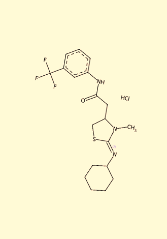 CN1/C(=N/C2CCCCC2)SCC1CC(=O)Nc1cccc(C(F)(F)F)c1.Cl